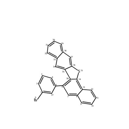 Brc1cccc(-c2cc3ccccc3c3sc4cc5ccccc5cc4c23)c1